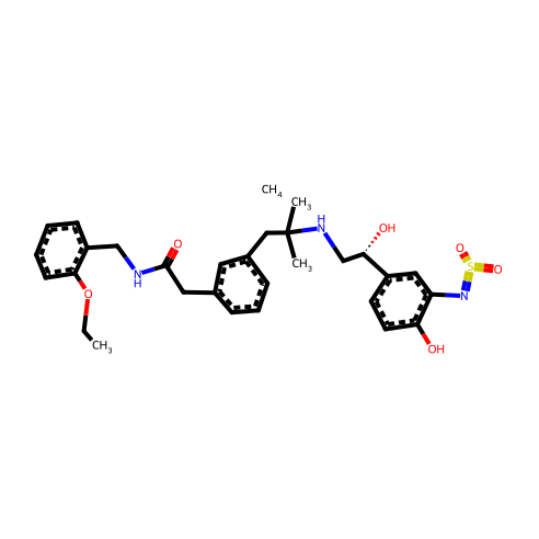 C.CCOc1ccccc1CNC(=O)Cc1cccc(CC(C)(C)NC[C@H](O)c2ccc(O)c(N=S(=O)=O)c2)c1